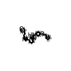 c1cc(-c2cnn(CCN3CCOCC3)c2)n2nc(Nc3ccc(OCCN4CCCC4)cc3)nc2c1